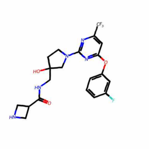 O=C(NCC1(O)CCN(c2nc(Oc3cccc(F)c3)cc(C(F)(F)F)n2)C1)C1CNC1